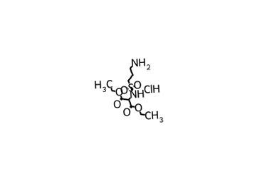 CCOC(=O)C(NS(=O)(=O)CCCN)C(=O)OCC.Cl